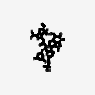 C=C[C@@H]1Cc2c(C(F)F)nn(CC(=O)N[C@@H](Cc3cc(F)cc(F)c3)c3nc(C#CC(C)(C)O)ccc3-c3ccc(Cl)c4c(NC(=O)CCOC)nn(C)c34)c2C1(F)F